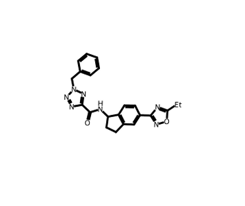 CCc1nc(-c2ccc3c(c2)CCC3NC(=O)c2nnn(Cc3ccccc3)n2)no1